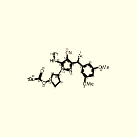 COc1cc(OC)cc(C(C(C)=O)c2nn([C@H]3CCN(OC(=O)C(C)(C)C)C3)c(NC(C)C)c2C#N)c1